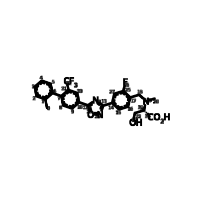 Cc1ccccc1-c1ccc(-c2nc(-c3ccc(CN(C)[C@@H](CO)C(=O)O)c(F)c3)no2)cc1C(F)(F)F